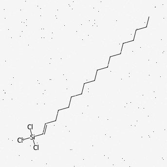 CCCCCCCCCCCCCCCCC=C[Si](Cl)(Cl)Cl